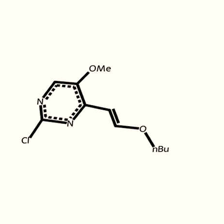 CCCCOC=Cc1nc(Cl)ncc1OC